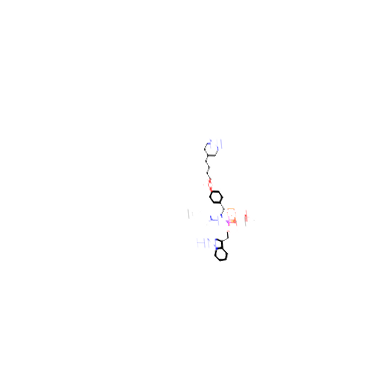 CCC[PH](O)(NC(Cc1ccc(OCCCCC2CCNCC2)cc1)C(=O)O)OCCc1c[nH]c2ccccc12